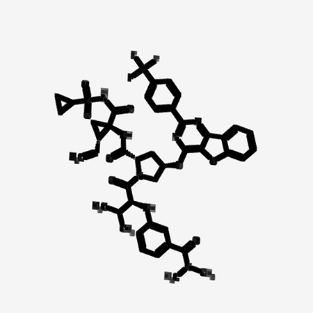 C=C[C@@H]1C[C@]1(NC(=O)[C@@H]1C[C@@H](Oc2nc(-c3ccc(C(F)(F)F)cc3)nc3c2oc2ccccc23)CN1C(=O)[C@@H](Nc1cccc(C(=O)N(C)C)c1)C(C)C)C(=O)NS(=O)(=O)C1CC1